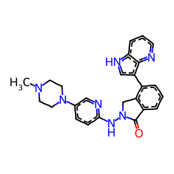 CN1CCN(c2ccc(NN3Cc4c(cccc4-c4c[nH]c5cccnc45)C3=O)nc2)CC1